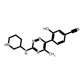 Cc1nc(NC2CCCNC2)nnc1-c1ccc(C#N)cc1O